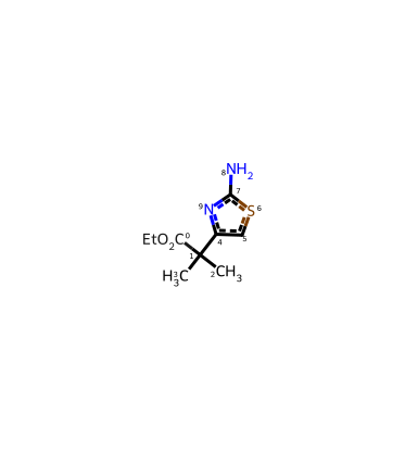 CCOC(=O)C(C)(C)c1csc(N)n1